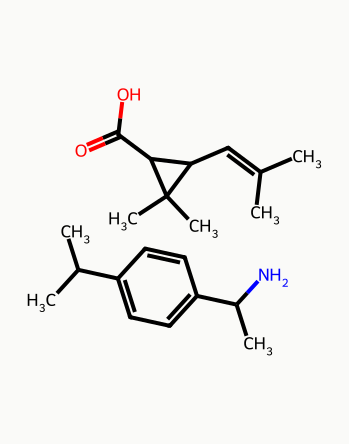 CC(C)=CC1C(C(=O)O)C1(C)C.CC(C)c1ccc(C(C)N)cc1